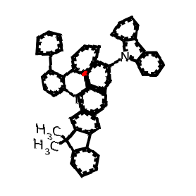 CC1(C)c2ccccc2-c2ccc(N(c3ccc(-n4c5ccccc5c5ccccc54)cc3)c3cccc(-c4ccccc4)c3-c3ccccc3-c3ccccc3)cc21